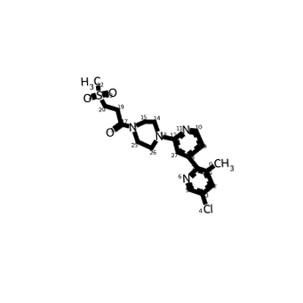 Cc1cc(Cl)cnc1-c1ccnc(N2CCN(C(=O)CCS(C)(=O)=O)CC2)c1